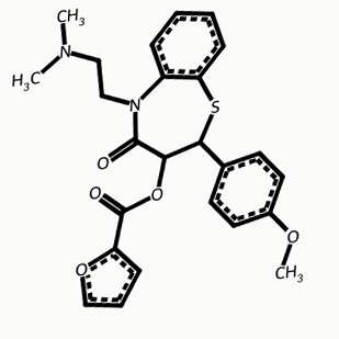 COc1ccc(C2Sc3ccccc3N(CCN(C)C)C(=O)C2OC(=O)c2ccco2)cc1